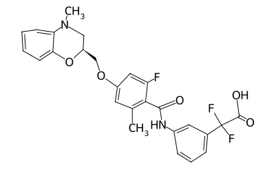 Cc1cc(OC[C@@H]2CN(C)c3ccccc3O2)cc(F)c1C(=O)Nc1cccc(C(F)(F)C(=O)O)c1